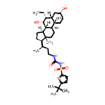 CC[C@H]1[C@@H](O)[C@@H]2[C@H](CC[C@]3(C)[C@@H]([C@H](C)CCNC(=O)NS(=O)(=O)c4ccc(C(C)(C)C)s4)CC[C@@H]23)[C@@]2(C)CC[C@@H](O)C[C@@H]12